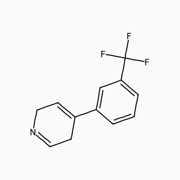 FC(F)(F)c1cccc(C2=CCN=CC2)c1